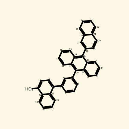 Oc1ccc(-c2cccc(-c3c4ccccc4c(-c4ccc5ccccc5c4)c4ccccc34)c2)c2ccccc12